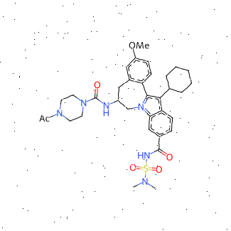 COc1ccc2c(c1)CC(NC(=O)N1CCN(C(C)=O)CC1)Cn1c-2c(C2CCCCC2)c2ccc(C(=O)NS(=O)(=O)N(C)C)cc21